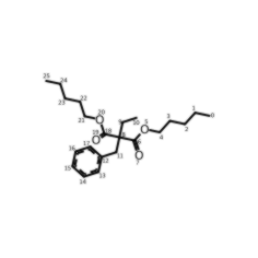 CCCCCOC(=O)C(CC)(Cc1ccccc1)C(=O)OCCCCC